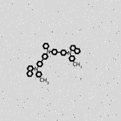 Cc1ccc(N(c2ccc(-c3ccc(N(c4ccccc4)c4ccc(-c5ccc(N(c6ccc(C)cc6)c6cccc7ccccc67)cc5)cc4)cc3)cc2)c2cccc3ccccc23)cc1